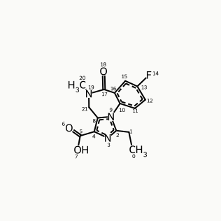 CCc1nc(C(=O)O)c2n1-c1ccc(F)cc1C(=O)N(C)C2